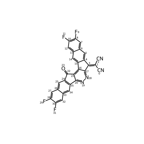 N#CC(C#N)=C1c2cc3cc(F)c(F)cc3cc2-c2c1nnc1c2C(=O)c2cc3cc(F)c(F)cc3cc2-1